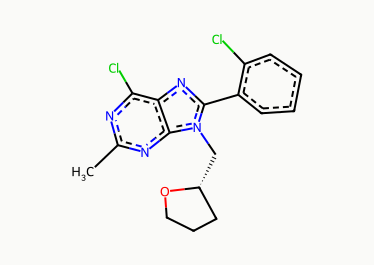 Cc1nc(Cl)c2nc(-c3ccccc3Cl)n(C[C@@H]3CCCO3)c2n1